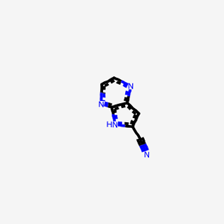 N#Cc1cc2nccnc2[nH]1